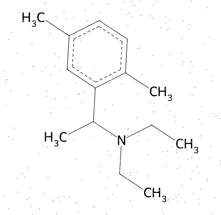 CCN(CC)C(C)c1cc(C)ccc1C